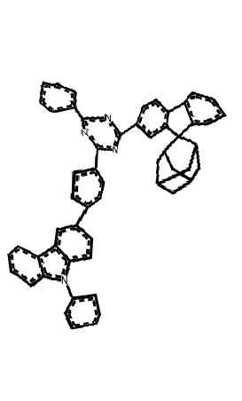 c1ccc(-c2nc(-c3ccc(-c4ccc5c(c4)c4ccccc4n5-c4ccccc4)cc3)nc(-c3ccc4c(c3)C3(c5ccccc5-4)C4CC5CC(C4)CC3C5)n2)cc1